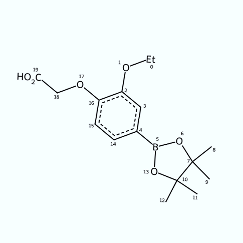 CCOc1cc(B2OC(C)(C)C(C)(C)O2)ccc1OCC(=O)O